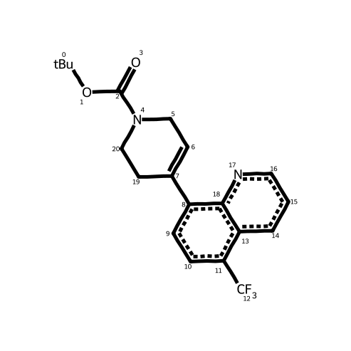 CC(C)(C)OC(=O)N1CC=C(c2ccc(C(F)(F)F)c3cccnc23)CC1